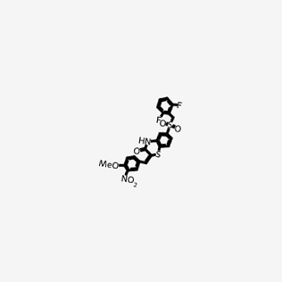 COc1ccc(/C=C2/Sc3ccc(S(=O)(=O)Cc4c(F)cccc4F)cc3NC2=O)cc1[N+](=O)[O-]